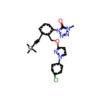 Cn1nnn(-c2cccc(C#C[Si](C)(C)C)c2COc2ccn(-c3ccc(Cl)cc3)n2)c1=O